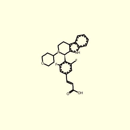 O=C(O)/C=C/c1cc(F)c([C@@H]2c3[nH]c4ccccc4c3CCN2C2CCOCC2)c(F)c1